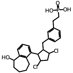 O=P(O)(O)CCc1cccc(CC2C(Cl)CC(Cl)C2c2cccc3c2CCCCC3O)c1